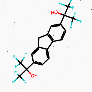 OC(c1ccc2c(c1)Cc1cc(C(O)(C(F)(F)F)C(F)(F)F)ccc1-2)(C(F)(F)F)C(F)(F)F